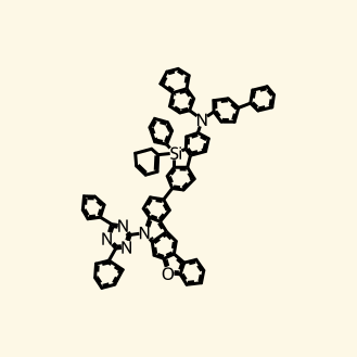 C1=CCCC([Si]2(c3ccccc3)c3cc(-c4ccc5c(c4)c4cc6c(cc4n5-c4nc(-c5ccccc5)nc(-c5ccccc5)n4)oc4ccccc46)ccc3-c3ccc(N(c4ccc(-c5ccccc5)cc4)c4ccc5ccccc5c4)cc32)=C1